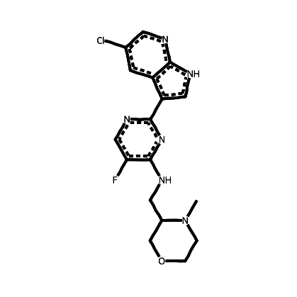 CN1CCOCC1CNc1nc(-c2c[nH]c3ncc(Cl)cc23)ncc1F